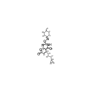 CC1CCC(=NOc2nc3oc(=O)cc(CCCC4CC4)c3c(=O)[nH]2)CC1